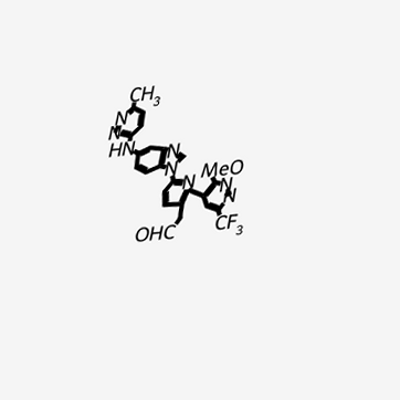 COc1nnc(C(F)(F)F)cc1-c1nc(-n2cnc3cc(Nc4ccc(C)nn4)ccc32)ccc1CC=O